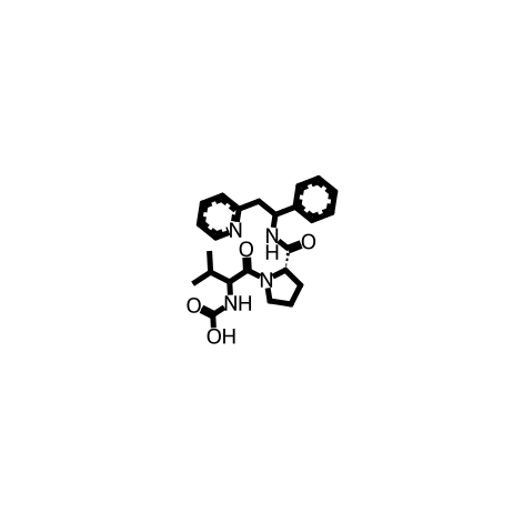 CC(C)C(NC(=O)O)C(=O)N1CCC[C@H]1C(=O)NC(Cc1ccccn1)c1ccccc1